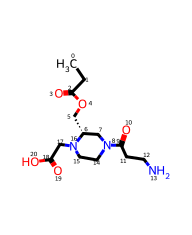 CCC(=O)OC[C@@H]1CN(C(=O)CCN)CCN1CC(=O)O